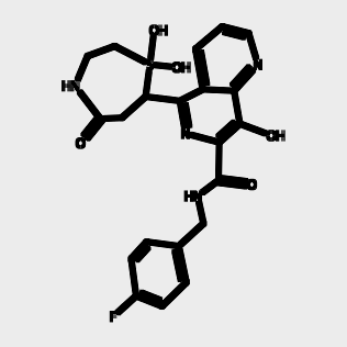 O=C1CC(c2nc(C(=O)NCc3ccc(F)cc3)c(O)c3ncccc23)S(O)(O)CCN1